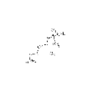 CCCCCCCCOCC[N+](C)(C)C.[Cl-]